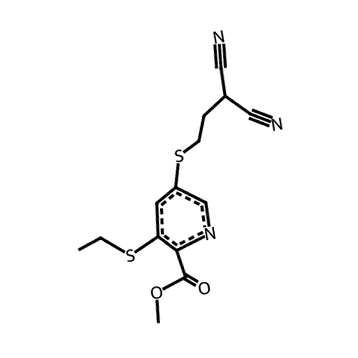 CCSc1cc(SCCC(C#N)C#N)cnc1C(=O)OC